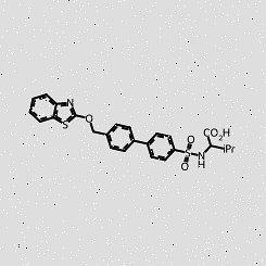 CC(C)C(NS(=O)(=O)c1ccc(-c2ccc(COc3nc4ccccc4s3)cc2)cc1)C(=O)O